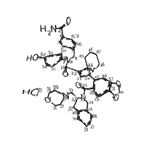 Cl.NC(=O)c1ccc(CN(C(=O)c2cc(-c3cc4c(cc3C(=O)N3Cc5ccccc5C[C@H]3CN3CCOCC3)OCO4)n3c2CCCC3)c2ccc(O)cc2)cc1